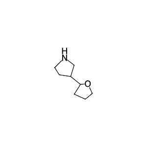 C1COC(C2CCNC2)C1